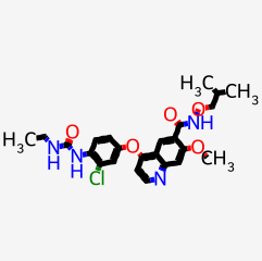 CCNC(=O)Nc1ccc(Oc2ccnc3cc(OC)c(C(=O)NOCC(C)C)cc23)cc1Cl